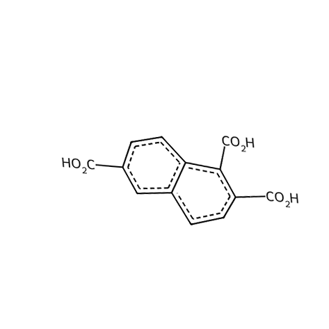 O=C(O)c1ccc2c(C(=O)O)c(C(=O)O)ccc2c1